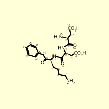 NCCCC[C@H](NC(=O)[C@H](CC(=O)O)NC(=O)[C@@H](N)CC(=O)O)C(=O)Cc1ccccc1